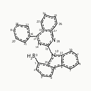 Bc1cccc2c3ccccc3n(-c3nc(-c4ccccc4)c4ccccc4n3)c12